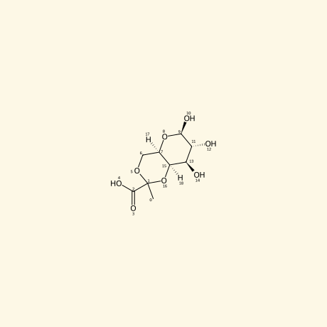 CC1(C(=O)O)OC[C@H]2O[C@@H](O)[C@H](O)[C@@H](O)[C@H]2O1